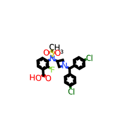 CS(=O)(=O)N(c1cccc(C(=O)O)c1F)C1CN(C(c2ccc(Cl)cc2)c2ccc(Cl)cc2)C1